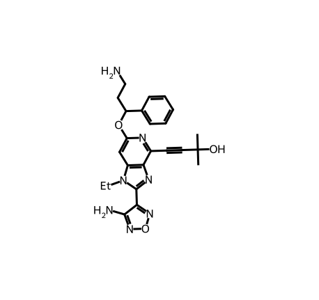 CCn1c(-c2nonc2N)nc2c(C#CC(C)(C)O)nc(OC(CCN)c3ccccc3)cc21